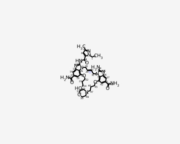 CCn1nc(C)cc1C(=O)Nc1nc2cc(C(N)=O)cc(OCCCO)c2n1C/C=C/Cn1c(N)nc2cc(C(N)=O)cc(OCCCN3CCOCC3)c21